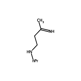 CCCNCCC(C)=N